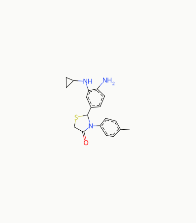 Cc1ccc(N2C(=O)CSC2c2ccc(N)c(NC3CC3)c2)cc1